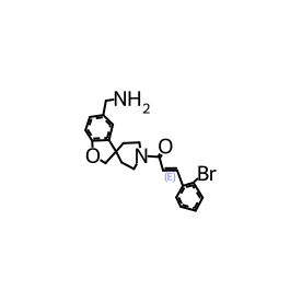 NCc1ccc2c(c1)C1(CCN(C(=O)/C=C/c3ccccc3Br)CC1)CO2